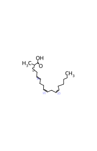 CCCCC/C=C\C/C=C\CC/C=C/CSC(C)C(=O)O